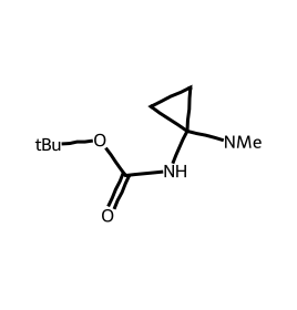 CNC1(NC(=O)OC(C)(C)C)CC1